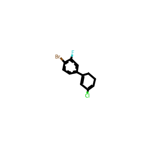 Fc1cc(C2=CC(Cl)=CC[CH]2)ccc1Br